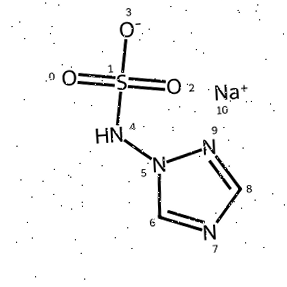 O=S(=O)([O-])Nn1cncn1.[Na+]